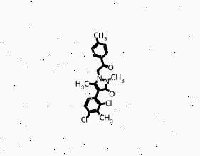 CC1=C(c2ccc(Cl)c(C)c2Cl)C([O])N(C)N1CC(=O)c1ccc(C)cc1